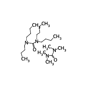 CCCCN(CCCC)C(=O)N(CCCC)CCCC.CN(C)C(=O)N(C)C